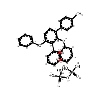 Cc1ccc(-c2ccc(Oc3ccccc3)c(-c3ccccc3)c2Oc2ccccc2)cc1.O=P(O)(O)OP(=O)(O)O